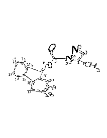 Cc1cnn(C(=O)OCC2c3ccccc3-c3ccccc32)c1